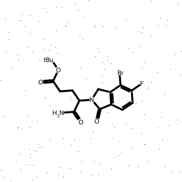 CC(C)(C)OC(=O)CCC(C(N)=O)N1Cc2c(ccc(F)c2Br)C1=O